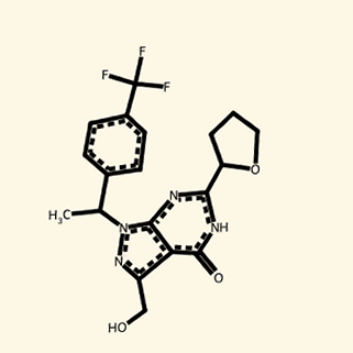 CC(c1ccc(C(F)(F)F)cc1)n1nc(CO)c2c(=O)[nH]c(C3CCCO3)nc21